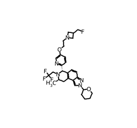 C[C@@H]1Cc2c(ccc3nn(C4CCCCO4)cc23)[C@@H](c2ccc(OCCN3CC(CF)C3)cn2)N1CC(F)(F)F